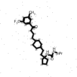 CCCNC(=O)NC1(CCC2CCC(CCCC(=O)c3cc(C)cc(C(F)(F)F)c3)CC2)CCCC1